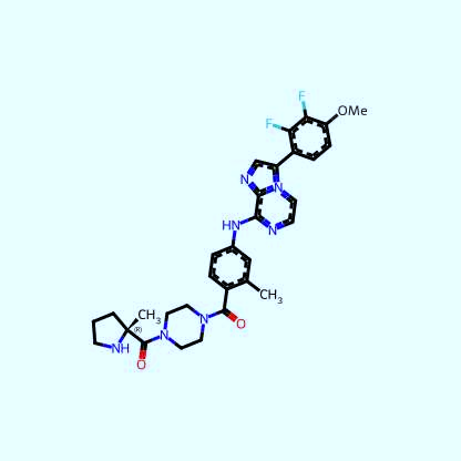 COc1ccc(-c2cnc3c(Nc4ccc(C(=O)N5CCN(C(=O)[C@@]6(C)CCCN6)CC5)c(C)c4)nccn23)c(F)c1F